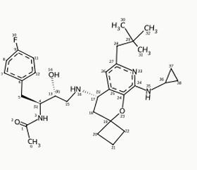 CC(=O)N[C@@H](Cc1ccc(F)cc1)[C@H](O)CN[C@H]1CC2(CCC2)Oc2c1cc(CC(C)(C)C)nc2NC1CC1